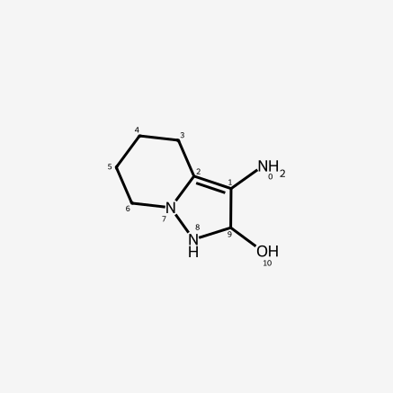 NC1=C2CCCCN2NC1O